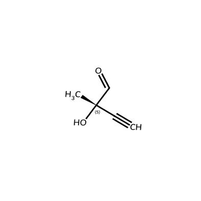 C#C[C@](C)(O)C=O